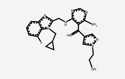 N=C(c1cnn(CCO)c1)c1c(N)ncnc1NCc1nc2cccc(F)c2n1CC1CC1